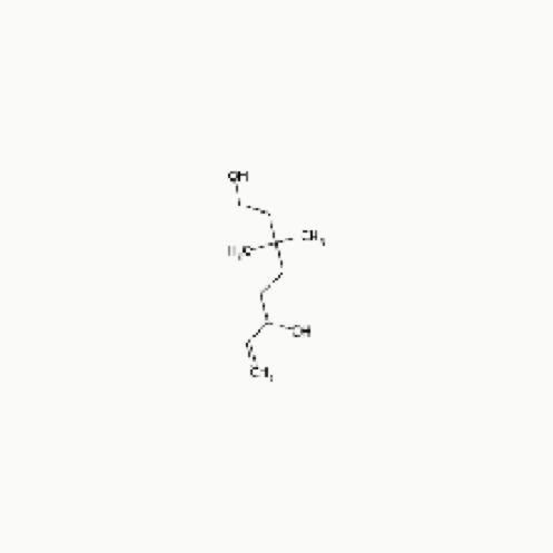 C=CC(O)CCC(C)(C)CCO